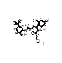 CCOC(=O)c1[nH]c2cc(Cl)cc(Cl)c2c1/C=C/C(=O)Nc1cc([N+](=O)[O-])ccc1F